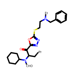 CCN(CCSc1nnc(C(=O)C(CC(C)C)N(C=O)C2CCCCC2)o1)Cc1ccccc1